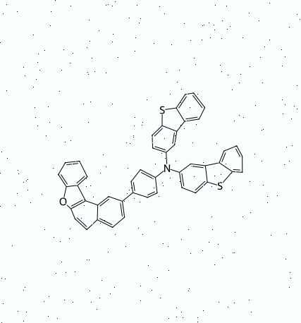 c1ccc2c(c1)oc1ccc3ccc(-c4ccc(N(c5ccc6sc7ccccc7c6c5)c5ccc6sc7ccccc7c6c5)cc4)cc3c12